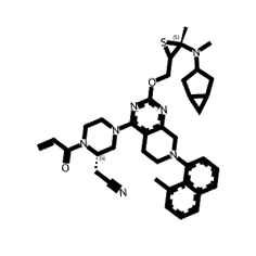 C=CC(=O)N1CCN(c2nc(OCC3S[C@]3(C)N(C)C3CC4CC4C3)nc3c2CCN(c2cccc4cccc(C)c24)C3)C[C@@H]1CC#N